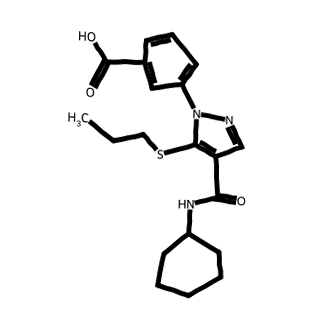 CCCSc1c(C(=O)NC2CCCCC2)cnn1-c1cccc(C(=O)O)c1